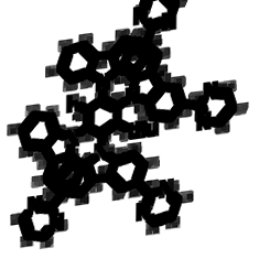 CC(C)(C)c1c(-n2c3ccc(-c4ncccn4)cc3c3cc(-c4ncccn4)ccc32)c(-n2c3ccccc3c3ccccc32)c(F)c(-n2c3ccccc3c3ccccc32)c1-n1c2ccc(-c3ncccn3)cc2c2cc(-c3ncccn3)ccc21